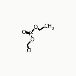 CCO[P](=O)OCCl